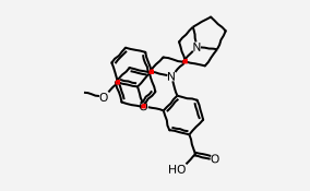 COc1cccc2c1Oc1cc(C(=O)O)ccc1N2C1CC2CCC(C1)N2CCc1ccccc1